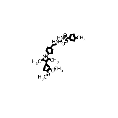 COc1ccc(-c2c(C)nn(-c3ccc(CCNC(=O)NS(=O)(=O)c4ccc(C)cc4)cc3)c2C)cc1OC